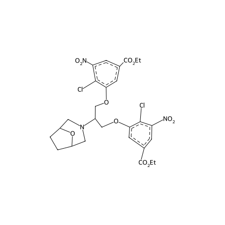 CCOC(=O)c1cc(OCC(COc2cc(C(=O)OCC)cc([N+](=O)[O-])c2Cl)N2CC3CCC(C2)O3)c(Cl)c([N+](=O)[O-])c1